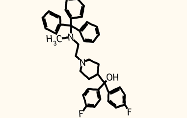 CN(CCN1CCC(C(O)(c2ccc(F)cc2)c2ccc(F)cc2)CC1)C(c1ccccc1)(c1ccccc1)c1ccccc1